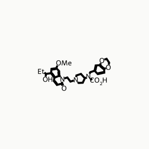 CCC(O)c1cc(OC)cc2c1ccc(=O)n2CCN1CCC(N(Cc2ccc3c(c2)OCCO3)C(=O)O)CC1